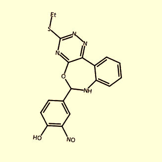 CCSc1nnc2c(n1)OC(c1ccc(O)c(N=O)c1)Nc1ccccc1-2